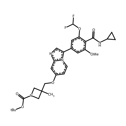 COc1cc(-c2cnc3cc(OCC4(C)CN(C(=O)OC(C)(C)C)C4)ccn23)cc(OC(F)F)c1C(=O)NC1CC1